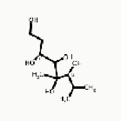 CC(C)[C@H](O)C(C)(O)C(O)[C@@H](O)CCO